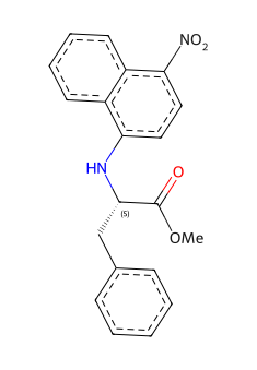 COC(=O)[C@H](Cc1ccccc1)Nc1ccc([N+](=O)[O-])c2ccccc12